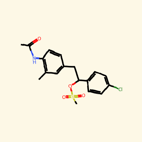 CC(=O)Nc1ccc(CC(OS(C)(=O)=O)c2ccc(Cl)cc2)cc1C